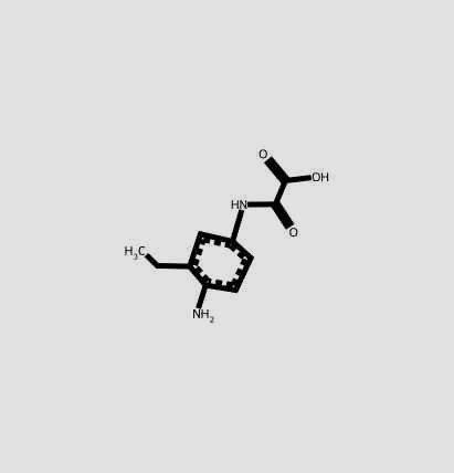 CCc1cc(NC(=O)C(=O)O)ccc1N